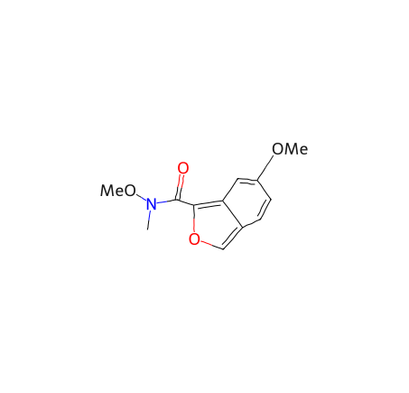 COc1ccc2coc(C(=O)N(C)OC)c2c1